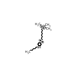 CCCCCCNc1ccc(S(=O)(=O)CCCCCCCC[Si](OCC)(OCC)OCC)cc1